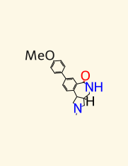 COc1ccc(-c2ccc3c(c2)C(=O)NC[C@@H]2CN(C)CC32)cc1